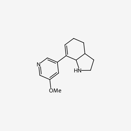 COc1cncc(C2=CCCC3CCNC23)c1